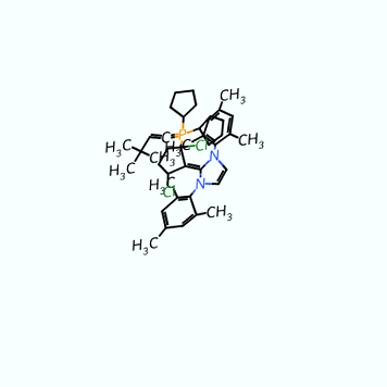 Cc1cc(C)c(N2C=CN(c3c(C)cc(C)cc3C)C2=C2C(Cl)CCC2(Cl)P(=C=CC(C)(C)C)(C2CCCC2)C2CCCC2)c(C)c1